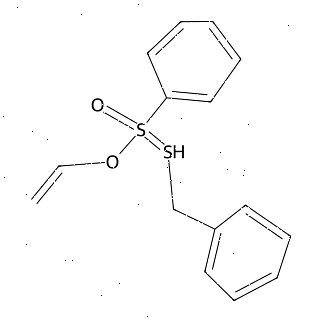 C=COS(=O)(=[SH]Cc1ccccc1)c1ccccc1